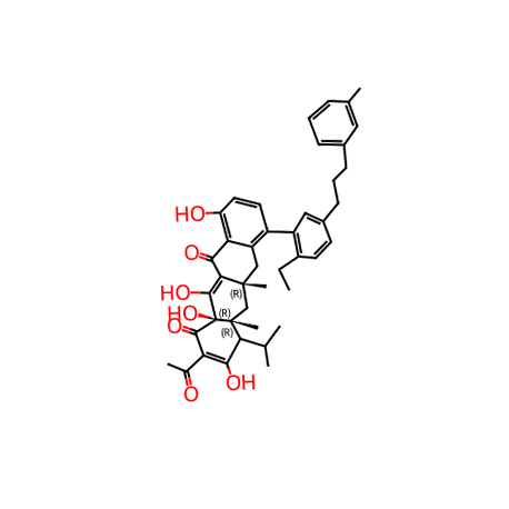 CCc1ccc(CCCc2cccc(C)c2)cc1-c1ccc(O)c2c1C[C@]1(C)C[C@]3(C)C(C(C)C)C(O)=C(C(C)=O)C(=O)[C@]3(O)C(O)=C1C2=O